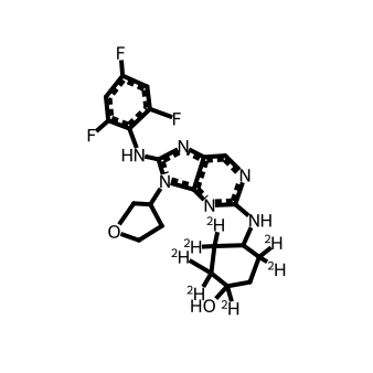 [2H]C1([2H])CC([2H])(O)C([2H])([2H])C([2H])([2H])C1Nc1ncc2nc(Nc3c(F)cc(F)cc3F)n(C3CCOC3)c2n1